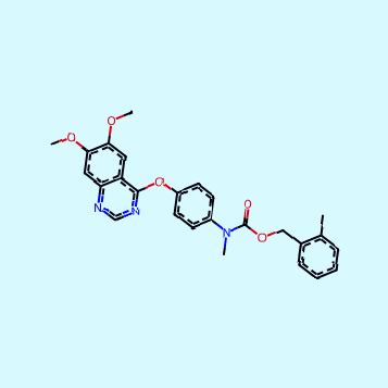 COc1cc2ncnc(Oc3ccc(N(C)C(=O)OCc4ccccc4C)cc3)c2cc1OC